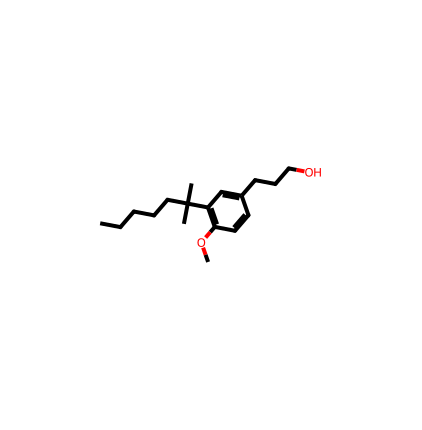 CCCCCC(C)(C)c1cc(CCCO)ccc1OC